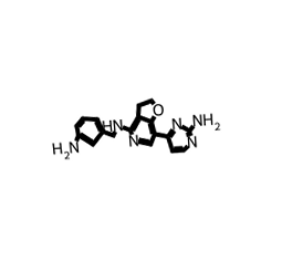 Nc1cccc(CNc2ncc(-c3ccnc(N)n3)c3c2CCO3)c1